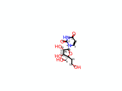 O=c1ccn([C@@H]2O[C@@](CO)(CCO)[C@@H](O)[C@H]2O)c(=O)[nH]1